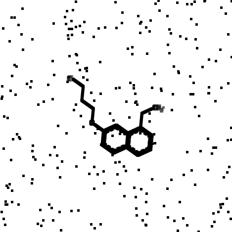 [CH2]Cc1cccc2ccc(OCCCCl)cc12